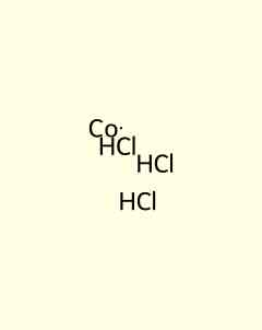 Cl.Cl.Cl.[Co]